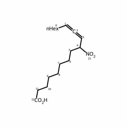 CCCCCCC=C=CC(CCCCCCCC(=O)O)[N+](=O)[O-]